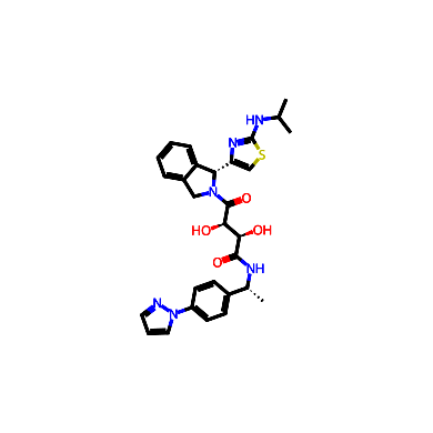 CC(C)Nc1nc([C@H]2c3ccccc3CN2C(=O)[C@H](O)[C@@H](O)C(=O)N[C@H](C)c2ccc(-n3cccn3)cc2)cs1